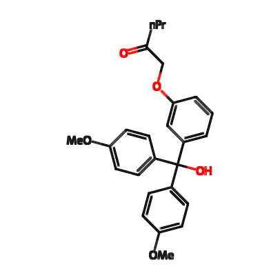 [CH2]CCC(=O)COc1cccc(C(O)(c2ccc(OC)cc2)c2ccc(OC)cc2)c1